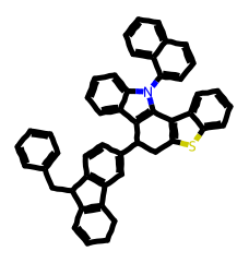 C1=CC2=C(CC1)c1cc(C3Cc4sc5ccccc5c4-c4c3c3ccccc3n4-c3cccc4ccccc34)ccc1C2Cc1ccccc1